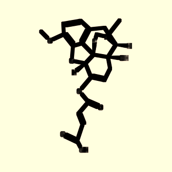 COc1ccc2c3c1O[C@H]1C(OC(=O)/C=C/C(=O)O)=CC[C@@]4(O)[C@@H](C2)N(C)CC[C@]314